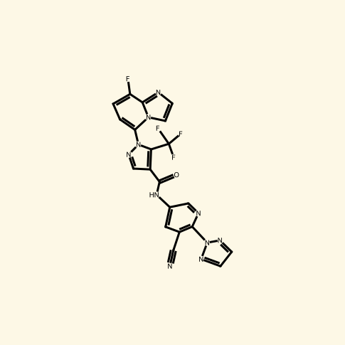 N#Cc1cc(NC(=O)c2cnn(-c3ccc(F)c4nccn34)c2C(F)(F)F)cnc1-n1nccn1